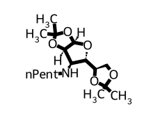 CCCCCN[C@H]1[C@H]2OC(C)(C)O[C@H]2O[C@@H]1[C@H]1COC(C)(C)O1